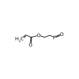 C=CC(=O)OCCP=O